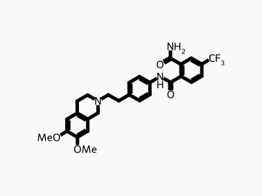 COc1cc2c(cc1OC)CN(CCc1ccc(NC(=O)c3ccc(C(F)(F)F)cc3C(N)=O)cc1)CC2